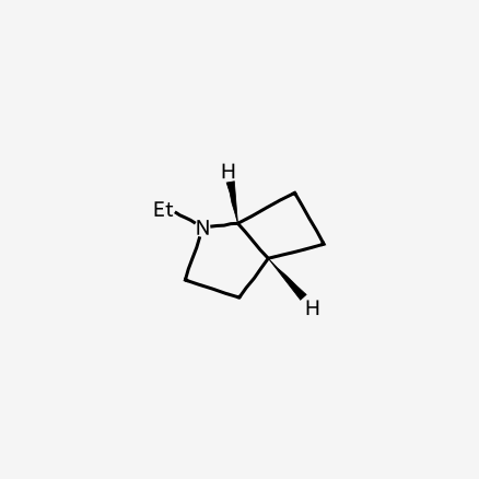 CCN1CC[C@H]2CC[C@H]21